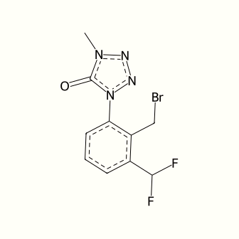 Cn1nnn(-c2cccc(C(F)F)c2CBr)c1=O